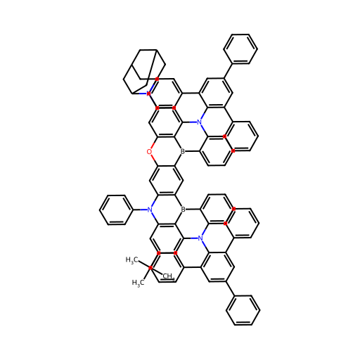 CC(C)(C)c1cc2c3c(c1)N(c1c(-c4ccccc4)cc(-c4ccccc4)cc1-c1ccccc1)c1ccccc1B3c1cc3c(cc1N2c1ccccc1)Oc1cc(N2C4CC5CC(C4)CC2C5)cc2c1B3c1ccccc1N2c1c(-c2ccccc2)cc(-c2ccccc2)cc1-c1ccccc1